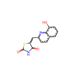 O=C1NC(=O)/C(=C\c2ccc3cccc(O)c3n2)S1